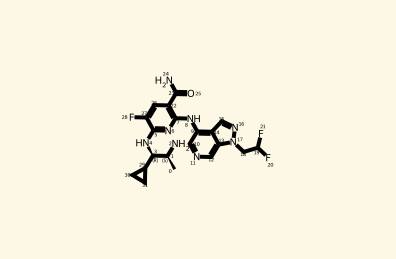 C[C@H](N)[C@H](Nc1nc(Nc2cncc3c2cnn3CC(F)F)c(C(N)=O)cc1F)C1CC1